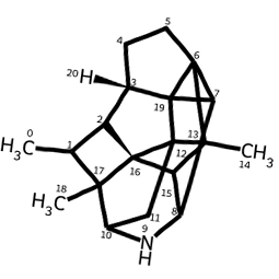 CC1C2[C@@H]3CCC45C6C7NC8CC9(C4(C)C7[C@@]29C81C)C635